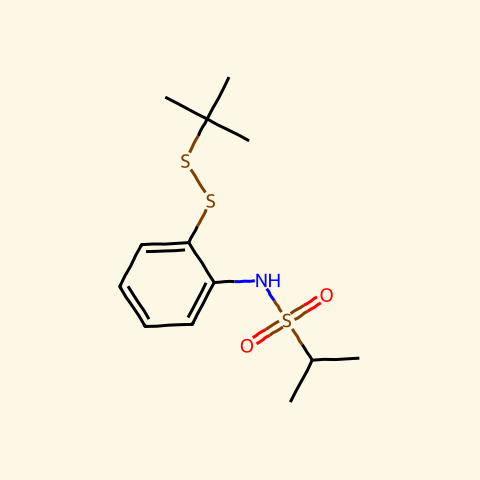 CC(C)S(=O)(=O)Nc1ccccc1SSC(C)(C)C